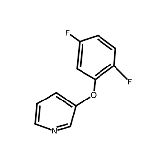 Fc1ccc(F)c(Oc2cc[c]nc2)c1